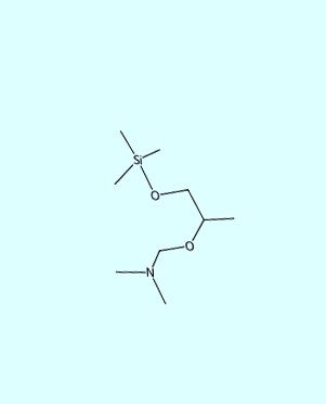 CC(CO[Si](C)(C)C)OCN(C)C